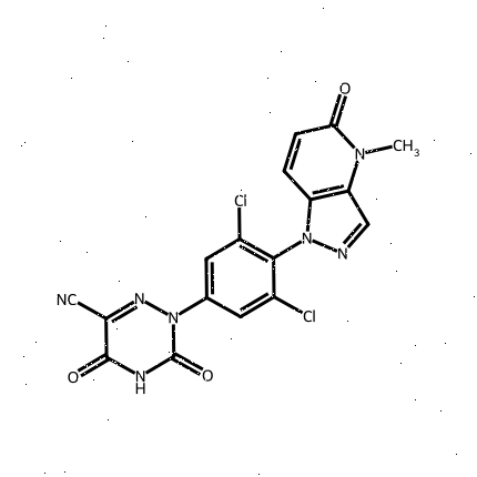 Cn1c(=O)ccc2c1cnn2-c1c(Cl)cc(-n2nc(C#N)c(=O)[nH]c2=O)cc1Cl